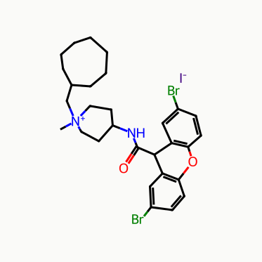 C[N+]1(CC2CCCCCCC2)CCC(NC(=O)C2c3cc(Br)ccc3Oc3ccc(Br)cc32)CC1.[I-]